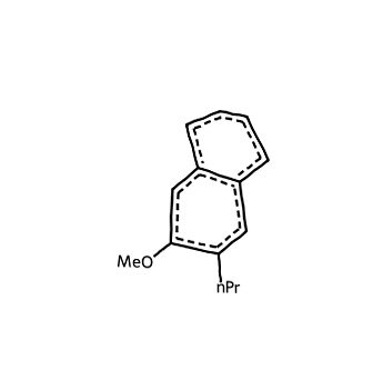 CCCc1cc2ccccc2cc1OC